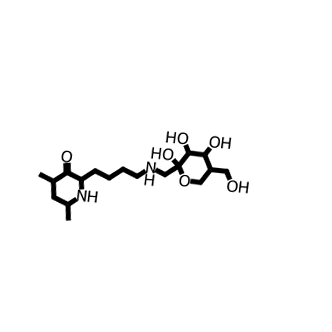 CC1CC(C)C(=O)C(CCCCNCC2(O)OCC(CO)C(O)C2O)N1